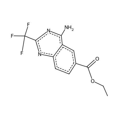 CCOC(=O)c1ccc2nc(C(F)(F)F)nc(N)c2c1